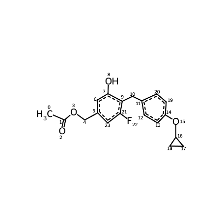 CC(=O)OCc1cc(O)c(Cc2ccc(OC3CC3)cc2)c(F)c1